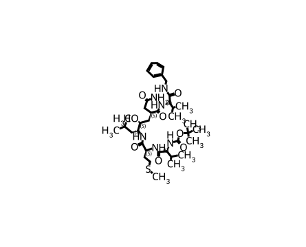 CSCC[C@H](NC(=O)[C@@H](NC(=O)OC(C)(C)C)C(C)C)C(=O)N[C@@H](CC(C)C)[C@@H](O)C[C@@H](CC(N)=O)C(=O)N[C@H](C(=O)NCc1ccccc1)C(C)C